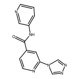 O=C(Nc1cccnc1)c1ccnc(-n2cnnc2)c1